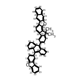 CC1(C)c2ccc(-c3c4ccccc4c(-c4ccc5oc6ccccc6c5c4)c4ccccc34)cc2-c2ccc3c(oc4cc5ccccc5cc43)c21